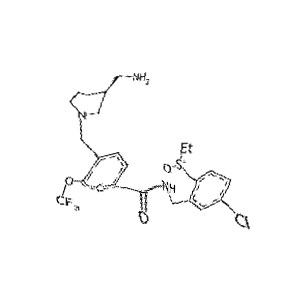 CC[S+]([O-])c1ccc(Cl)cc1CNC(=O)c1ccc(CN2CC[C@@H](CN)C2)c(OC(F)(F)F)c1